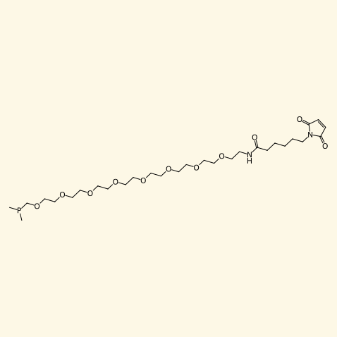 CP(C)COCCOCCOCCOCCOCCOCCOCCOCCNC(=O)CCCCCN1C(=O)C=CC1=O